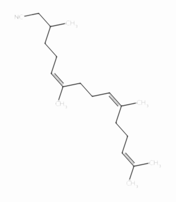 CC(C)=CCCC(C)=CCCC(C)=CCCC(C)CC#N